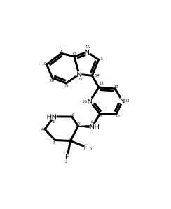 FC1(F)CCNC[C@H]1Nc1cncc(-c2cnc3ccccn23)n1